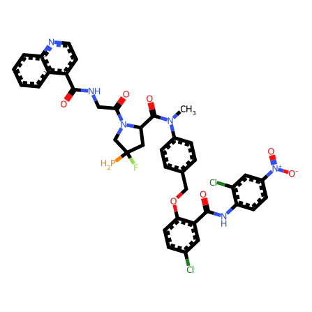 CN(C(=O)C1CC(F)(P)CN1C(=O)CNC(=O)c1ccnc2ccccc12)c1ccc(COc2ccc(Cl)cc2C(=O)Nc2ccc([N+](=O)[O-])cc2Cl)cc1